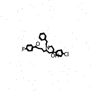 O=C(CCCC1CC(O)(c2ccc(Cl)cc2)CCN1CCc1ccccc1)c1ccc(F)cc1